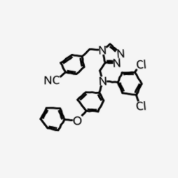 N#Cc1ccc(Cn2cnnc2CN(c2ccc(Oc3ccccc3)cc2)c2cc(Cl)cc(Cl)c2)cc1